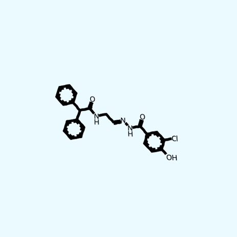 O=C(NN=CCNC(=O)C(c1ccccc1)c1ccccc1)c1ccc(O)c(Cl)c1